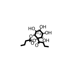 CCCC(=O)O[C@@H]1[C@@H](O)[C@H](O)[C@@H](O)[C@H](O)[C@@]1(O)C(=O)CCC